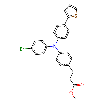 COC(=O)CCc1ccc(N(c2ccc(Br)cc2)c2ccc(-c3cccs3)cc2)cc1